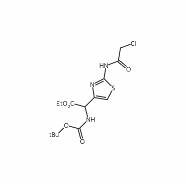 CCOC(=O)C(NC(=O)OC(C)(C)C)c1csc(NC(=O)CCl)n1